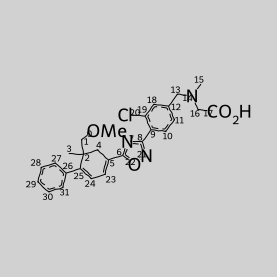 COCC1(C)CC(c2nc(-c3ccc(CN(C)CC(=O)O)cc3Cl)no2)=CC=C1c1ccccc1